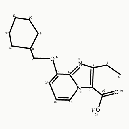 CCc1nc2c(OCC3CCCCC3)cccn2c1C(=O)O